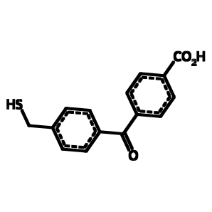 O=C(O)c1ccc(C(=O)c2ccc(CS)cc2)cc1